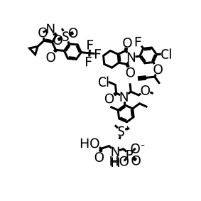 C#CC(C)Oc1cc(N2C(=O)C3=C(CCCC3)C2=O)c(F)cc1Cl.CCc1cccc(C)c1N(C(=O)CCl)C(C)COC.CS(=O)(=O)c1cc(C(F)(F)F)ccc1C(=O)c1cnoc1C1CC1.C[S+](C)C.O=C(O)CNCP(=O)([O-])O